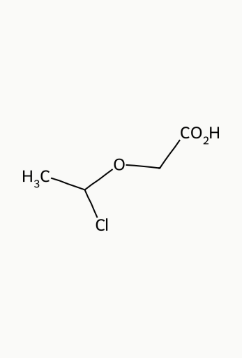 CC(Cl)OCC(=O)O